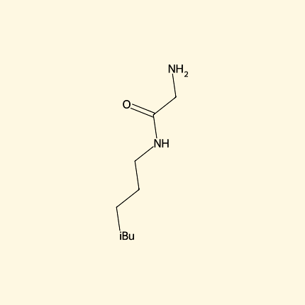 CCC(C)CCCNC(=O)CN